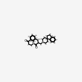 O=C1CCN2C(=O)C(CN3CCC4(CCc5ccccc54)CC3)Cc3cccc1c32